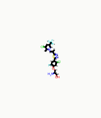 C=C1C(Cl)=CC(C(F)(F)F)=CN1/C=C(\C)c1nnc(-c2cc(F)c(OCC(N)CO)cc2Cl)s1